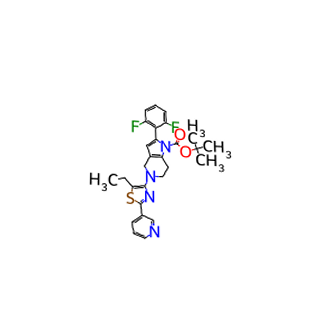 CCc1sc(-c2cccnc2)nc1N1CCc2c(cc(-c3c(F)cccc3F)n2C(=O)OC(C)(C)C)C1